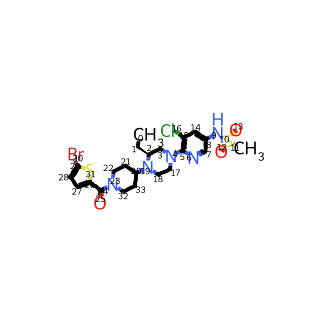 CC[C@H]1CN(c2ncc(NS(C)(=O)=O)cc2Cl)CCN1C1CCN(C(=O)c2ccc(Br)s2)CC1